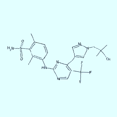 Cc1ccc(Nc2ncc(C(F)(F)F)c(-c3cnn(CC(C)(C)O)c3)n2)c(C)c1S(N)(=O)=O